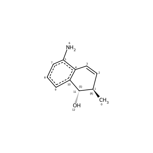 C[C@@H]1C=Cc2c(N)cccc2[C@H]1O